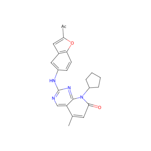 CC(=O)c1cc2cc(Nc3ncc4c(C)cc(=O)n(C5CCCC5)c4n3)ccc2o1